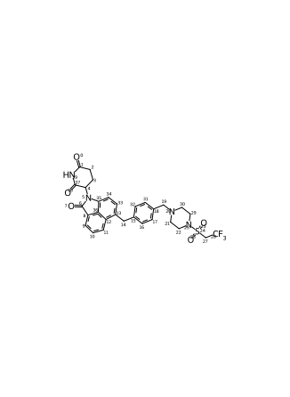 O=C1CCC(N2C(=O)c3cccc4c(Cc5ccc(CN6CCN(S(=O)(=O)CC(F)(F)F)CC6)cc5)ccc2c34)C(=O)N1